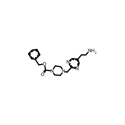 NCCc1cnc(CN2CCN(C(=O)OCc3ccccc3)CC2)nc1